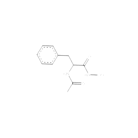 CC(=O)NC(Cc1ccccc1)C(=O)NO